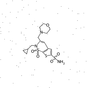 NS(=O)(=O)c1cc2c(s1)S(=O)(=O)N(CC1CC1)C(CN1CCOCC1)=C2